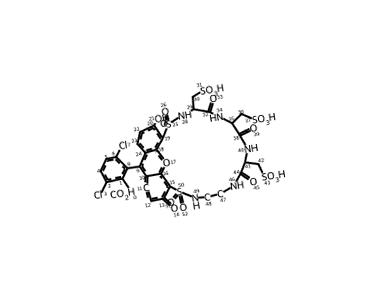 O=C(O)c1c(Cl)ccc(Cl)c1-c1c2ccc(=O)c3c-2oc2c(c(O)ccc12)S(=O)(=O)NC(CS(=O)(=O)O)C(=O)NC(CS(=O)(=O)O)C(=O)NC(CS(=O)(=O)O)C(=O)NCCNS3(=O)=O